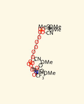 COc1ccc(C(O[C@@H]2[C@H](N(C)C(=O)C(F)(F)F)CO[C@@H]2COP(=O)(OCCC#N)OCCOCCOCCOCCOCCOCCOP(=O)(OCCC#N)OCCC[Si](OC)(OC)OC)(c2ccccc2)c2ccc(OC)cc2)cc1